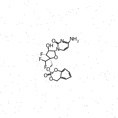 Nc1ccn([C@@H]2O[C@@](COP3(=O)OCc4ccccc4O3)(C(F)F)[C@H](F)[C@H]2O)c(=O)n1